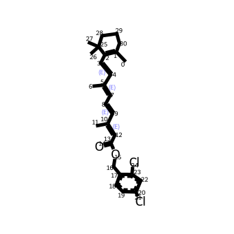 CC1=C(/C=C/C(C)=C/C=C/C(C)=C/C(=O)OCc2ccc(Cl)cc2Cl)C(C)(C)CCC1